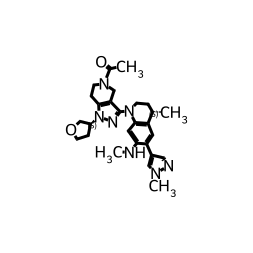 CNc1cc2c(cc1-c1cnn(C)c1)[C@@H](C)CCN2c1nn([C@H]2CCOC2)c2c1CN(C(C)=O)CC2